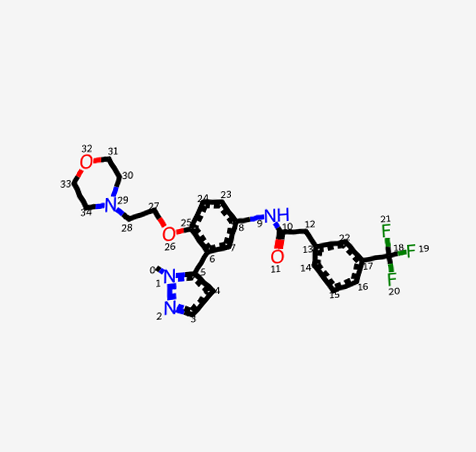 Cn1nccc1-c1cc(NC(=O)Cc2cccc(C(F)(F)F)c2)ccc1OCCN1CCOCC1